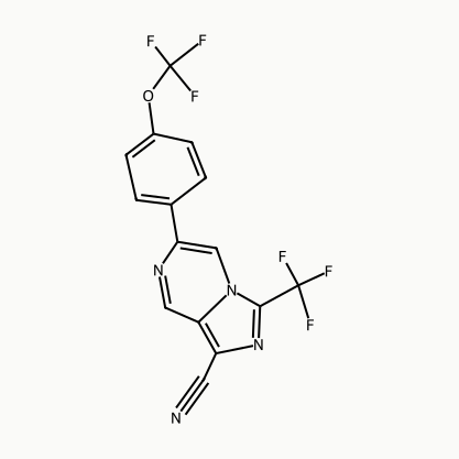 N#Cc1nc(C(F)(F)F)n2cc(-c3ccc(OC(F)(F)F)cc3)ncc12